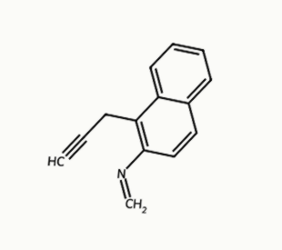 C#CCc1c(N=C)ccc2ccccc12